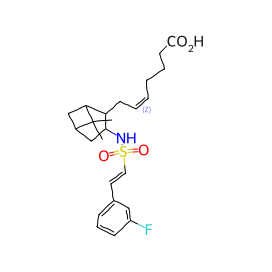 CC1(C)C2CC(NS(=O)(=O)C=Cc3cccc(F)c3)C(C/C=C\CCCC(=O)O)C1C2